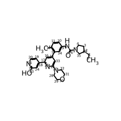 CC[C@@H]1CCN(C(=O)Nc2ccc(C)c(-c3cc(-c4ccnc(O)c4)nc(N4CCOCC4)c3)c2)C1